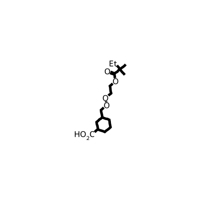 CCC(C)(C)C(=O)OCCOOCC1CCCC(C(=O)O)C1